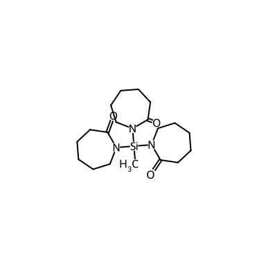 C[Si](N1CCCCCC1=O)(N1CCCCCC1=O)N1CCCCCC1=O